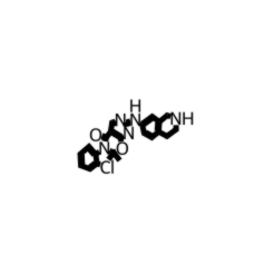 CC1(C)Oc2nc(Nc3ccc4c(c3)CNCC4)ncc2C(=O)N1c1ccccc1Cl